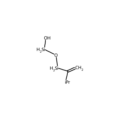 C=C([SiH2]O[SiH2]O)C(C)C